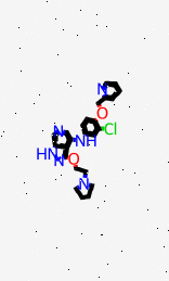 Clc1cc(Nc2cncc3[nH]nc(OCCN4CCCC4)c23)ccc1OCc1ccccn1